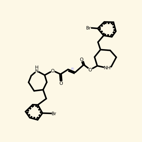 O=C(/C=C/C(=O)OC1CC(Cc2ccccc2Br)CCCN1)OC1CC(Cc2ccccc2Br)CCCN1